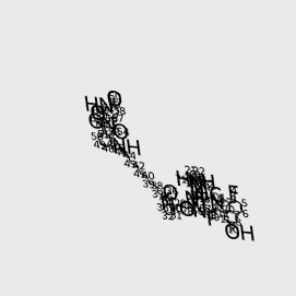 C#Cc1c(F)ccc2cc(O)cc(-c3ncc4c(N5C[C@H]6CC[C@@H](C5)N6)nc(OC[C@H]5CCCN5C(=O)CCCCCCCCCNc5cccc6c5C(=O)N(C5CCC(=O)NC5=O)C6=O)nc4c3F)c12